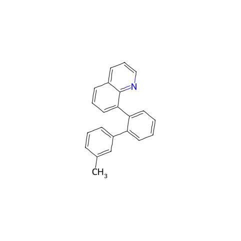 Cc1cccc(-c2ccccc2-c2cccc3cccnc23)c1